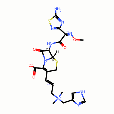 CO/N=C(\C(=O)N[C@@H]1C(=O)N2C(C(=O)[O-])=C(/C=C/C[N+](C)(C)Cc3c[nH]cn3)CS[C@@H]12)c1nsc(N)n1